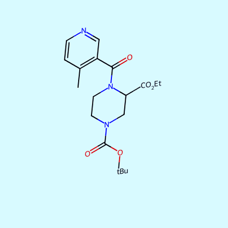 CCOC(=O)C1CN(C(=O)OC(C)(C)C)CCN1C(=O)c1cnccc1C